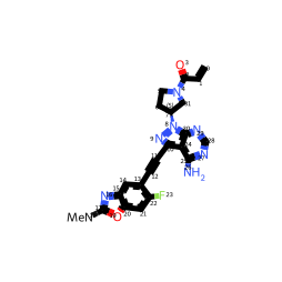 C=CC(=O)N1CC[C@H](n2nc(C#Cc3cc4nc(NC)oc4cc3F)c3c(N)ncnc32)C1